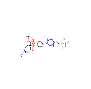 CC(C)(C)OC(=O)C1(S(=O)(=O)c2ccc(-c3cnc(CCC(F)(F)C(F)(F)F)cn3)cc2)CCN(C2CC2)CC1